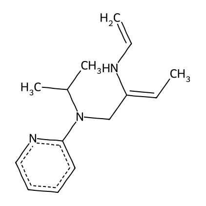 C=CN/C(=C\C)CN(c1ccccn1)C(C)C